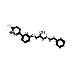 O=C1CCC(c2cccc(OCC(O)CNCCc3ccccc3)c2)=NN1